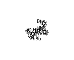 CCCCN1CCOc2c(-c3ncco3)cc(C(=O)N[C@H](Cc3cc(F)cc(F)c3)[C@@H](O)CNCc3cccc(CC)c3)cc21